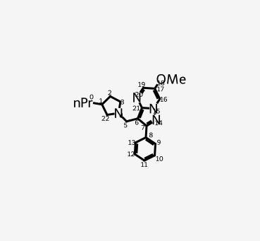 CCCC1CCN(Cc2c(-c3ccccc3)nn3cc(OC)cnc23)C1